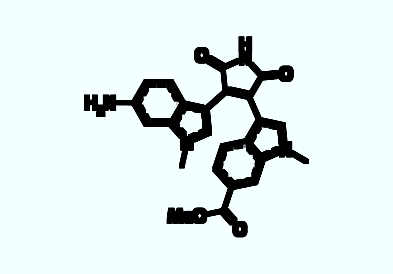 COC(=O)c1ccc2c(C3=C(c4cn(C)c5cc(N)ccc45)C(=O)NC3=O)cn(C)c2c1